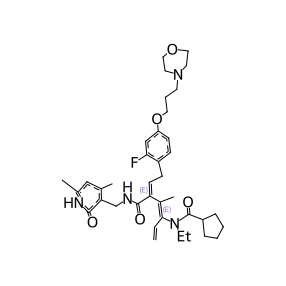 C=C/C(=C(C)\C(=C/Cc1ccc(OCCCN2CCOCC2)cc1F)C(=O)NCc1c(C)cc(C)[nH]c1=O)N(CC)C(=O)C1CCCC1